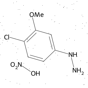 COc1cc(NN)ccc1Cl.O=[N+]([O-])O